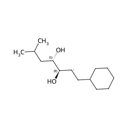 CC(C)C[C@H](O)[C@H](O)[CH]CC1CCCCC1